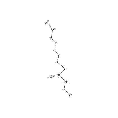 CC(C)CNC(=O)CCCCCCOC(C)C